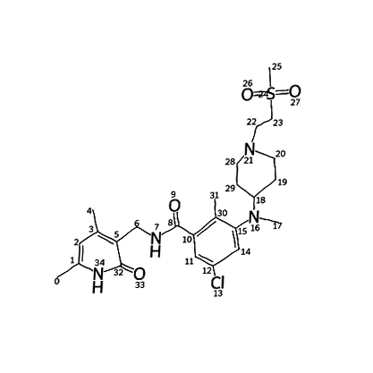 Cc1cc(C)c(CNC(=O)c2cc(Cl)cc(N(C)C3CCN(CCS(C)(=O)=O)CC3)c2C)c(=O)[nH]1